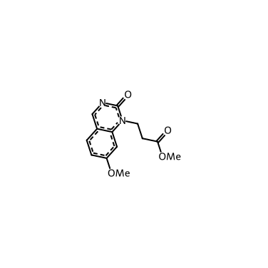 COC(=O)CCn1c(=O)ncc2ccc(OC)cc21